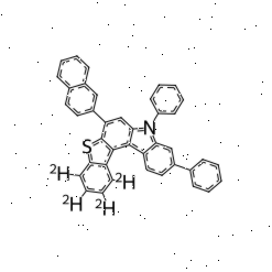 [2H]c1c([2H])c([2H])c2c(sc3c(-c4ccc5ccccc5c4)cc4c(c5ccc(-c6ccccc6)cc5n4-c4ccccc4)c32)c1[2H]